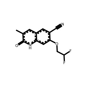 Cc1cc2cc(C#N)c(OCC(F)F)cc2[nH]c1=O